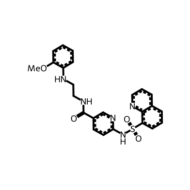 COc1ccccc1NCCNC(=O)c1ccc(NS(=O)(=O)c2cccc3cccnc23)nc1